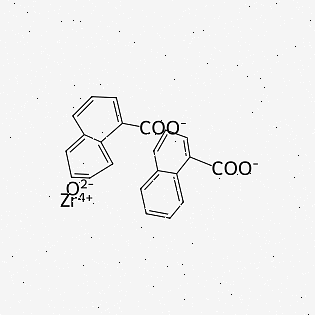 O=C([O-])c1cccc2ccccc12.O=C([O-])c1cccc2ccccc12.[O-2].[Zr+4]